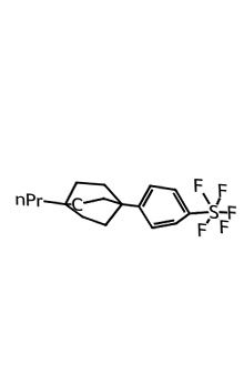 CCCC12CCC(c3ccc(S(F)(F)(F)(F)F)cc3)(CC1)CC2